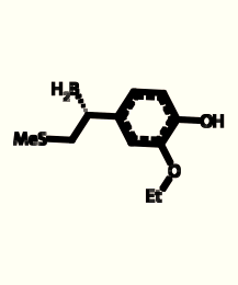 B[C@@H](CSC)c1ccc(O)c(OCC)c1